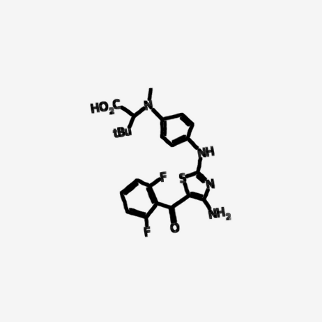 CN(c1ccc(Nc2nc(N)c(C(=O)c3c(F)cccc3F)s2)cc1)C(C(=O)O)C(C)(C)C